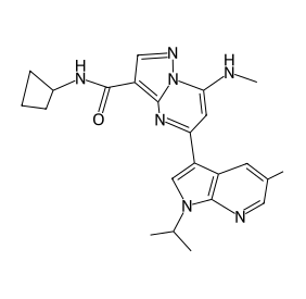 CNc1cc(-c2cn(C(C)C)c3ncc(C)cc23)nc2c(C(=O)NC3CCC3)cnn12